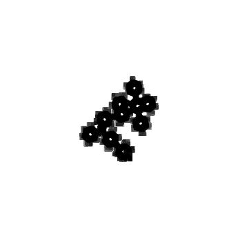 c1ccc(-c2c3c(c(-c4ccccc4)c4ccccc24)-c2ccc(-c4cccc(N(c5ccccc5)c5ccc(-c6ccncc6)cc5)c4)c4cccc-3c24)cc1